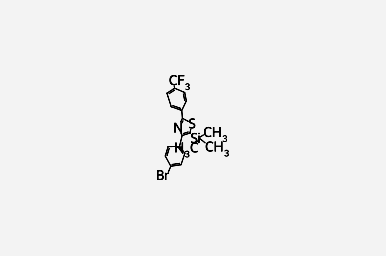 C[Si](C)(C)c1sc(-c2ccc(C(F)(F)F)cc2)nc1-c1ccc(Br)cc1